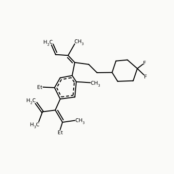 C=C/C(C)=C(/CCC1CCC(F)(F)CC1)c1cc(CC)c(/C(C(=C)C)=C(\C)CC)cc1C